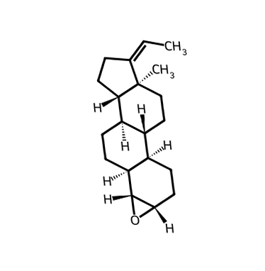 C/C=C1/CC[C@H]2[C@@H]3CC[C@H]4[C@H](CC[C@@H]5O[C@H]45)[C@H]3CC[C@]12C